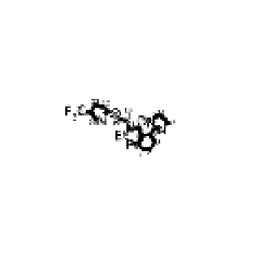 CCN(C(=O)c1c(F)cccc1-c1ncccn1)[C@@H](C)COc1ccc(C(F)(F)F)cn1